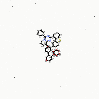 C=CC(c1cccc(-c2ccc3sc(=C/C)/c(=C(\C)c4nc(C(/C=C\C)=C/C)nc(-c5ccccc5)n4)c3c2)c1C1=CCCC=C1)C(/C=C\C)c1ccccc1